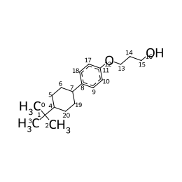 CC(C)(C)C1CCC(c2ccc(OCCCO)cc2)CC1